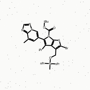 CCC[Si](C)(CCC)OCc1c(Br)sc2c1c(C(C)C)c(-c1cc(C)c3ncnn3c1)n2C(=O)OC(C)(C)C